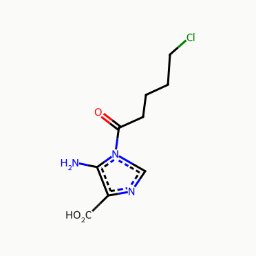 Nc1c(C(=O)O)ncn1C(=O)CCCCCl